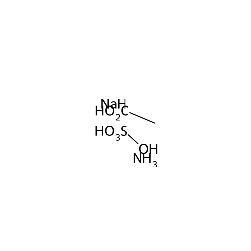 CC(=O)O.N.O=S(=O)(O)O.[NaH]